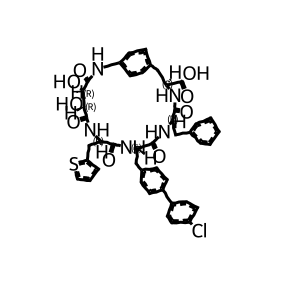 O=C(O)[C@@H]1Cc2ccc(cc2)NC(=O)[C@H](O)[C@@H](O)C(=O)N[C@H](Cc2cccs2)C(=O)N[C@@H](Cc2ccc(-c3ccc(Cl)cc3)cc2)C(=O)N[C@H](Cc2ccccc2)C(=O)N1